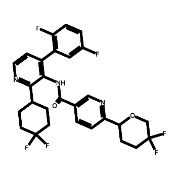 O=C(Nc1c(-c2cc(F)ccc2F)ccnc1C1CCC(F)(F)CC1)c1ccc(C2CCC(F)(F)CO2)nc1